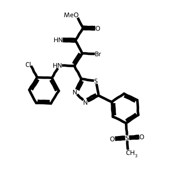 COC(=O)C(=N)/C(Br)=C(\Nc1ccccc1Cl)c1nnc(-c2cccc(S(C)(=O)=O)c2)s1